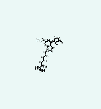 Cc1ccc(-c2nc(N)nc3c2cnn3CCCCCC(=O)NO)o1